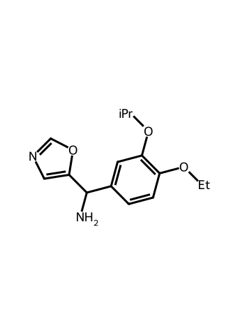 CCOc1ccc(C(N)c2cnco2)cc1OC(C)C